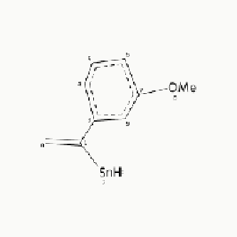 C=[C]([SnH])c1cccc(OC)c1